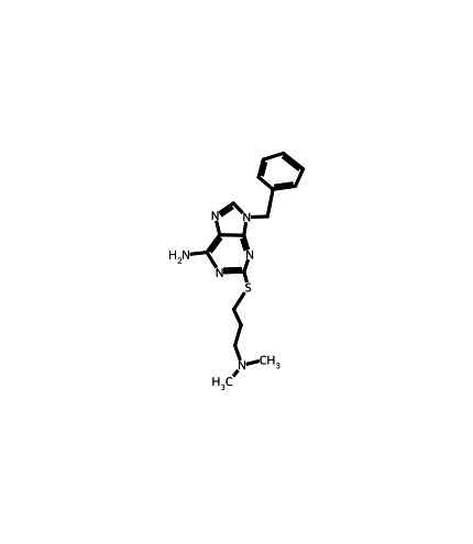 CN(C)CCCSc1nc(N)c2ncn(Cc3ccccc3)c2n1